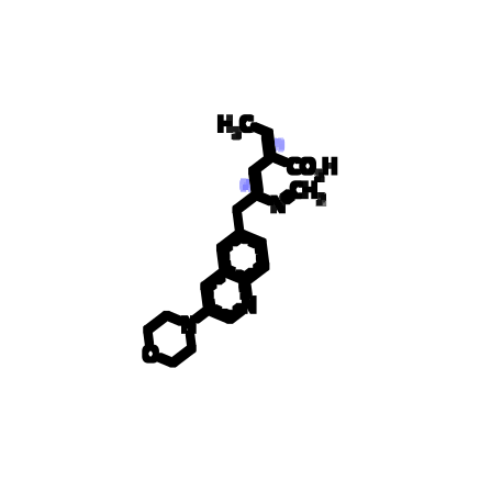 C=N/C(=C\C(=C/C)C(=O)O)Cc1ccc2ncc(N3CCOCC3)cc2c1